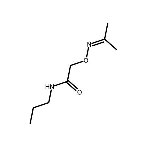 CCCNC(=O)CON=C(C)C